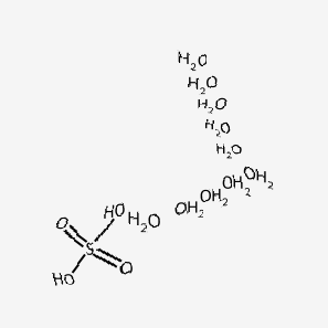 O.O.O.O.O.O.O.O.O.O.O=S(=O)(O)O